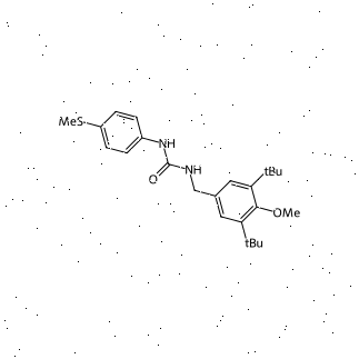 COc1c(C(C)(C)C)cc(CNC(=O)Nc2ccc(SC)cc2)cc1C(C)(C)C